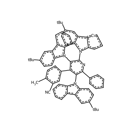 Cc1ccc(-c2c(-n3c4ccccc4c4cc(C(C)(C)C)ccc43)c(-c3ccccc3)nc(-n3c4ccccc4c4cc(C(C)(C)C)ccc43)c2-n2c3ccccc3c3cc(C(C)(C)C)ccc32)cc1C#N